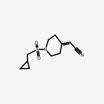 N#CC=C1CCN(S(=O)(=O)CC2CC2)CC1